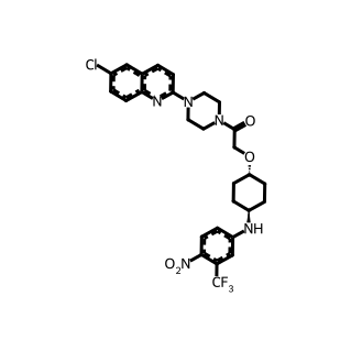 O=C(CO[C@H]1CC[C@H](Nc2ccc([N+](=O)[O-])c(C(F)(F)F)c2)CC1)N1CCN(c2ccc3cc(Cl)ccc3n2)CC1